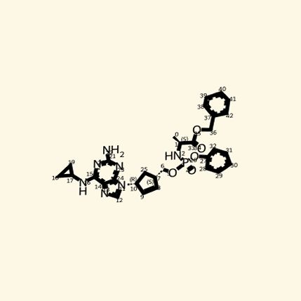 C[C@H](NP(=O)(OC[C@@H]1C=C[C@H](n2cnc3c(NC4CC4)nc(N)nc32)C1)Oc1ccccc1)C(=O)OCc1ccccc1